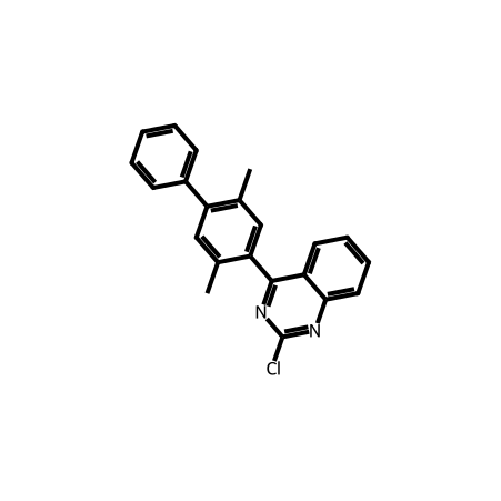 Cc1cc(-c2nc(Cl)nc3ccccc23)c(C)cc1-c1ccccc1